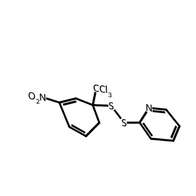 O=[N+]([O-])C1=CC(SSc2ccccn2)(C(Cl)(Cl)Cl)CC=C1